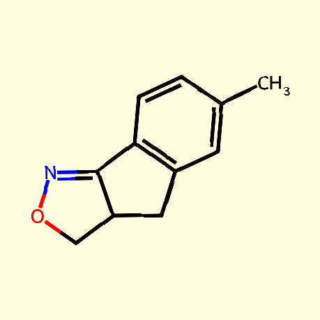 Cc1ccc2c(c1)CC1CON=C21